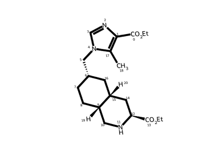 CCOC(=O)c1ncn(C[C@H]2CC[C@H]3CN[C@H](C(=O)OCC)C[C@H]3C2)c1C